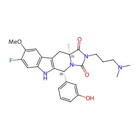 COc1cc2c3c([nH]c2cc1F)[C@@H](c1cccc(O)c1)N1C(=O)N(CCCN(C)C)C(=O)[C@]1(C)C3